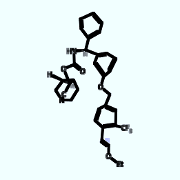 CCO/C=C/c1ccc(COc2cccc([C@@H](NC(=O)O[C@H]3CN4CCC3CC4)c3ccccc3)c2)cc1C(F)(F)F